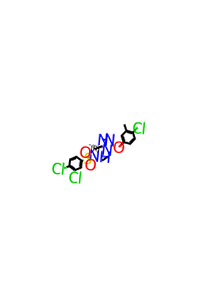 CCn1c(Oc2ccc(Cl)c(C)c2)nnc1[C@@H](C)NS(=O)(=O)c1ccc(Cl)c(Cl)c1